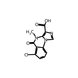 Cn1c(=O)c2c(Cl)cccc2n2cnc(C(=O)O)c12